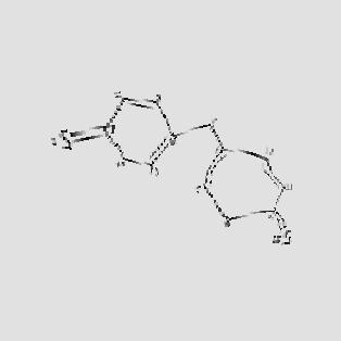 S=C1C=CC(CC2=CCC(=S)C=C2)=CC1